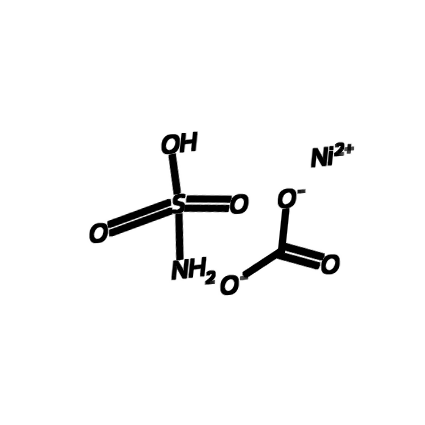 NS(=O)(=O)O.O=C([O-])[O-].[Ni+2]